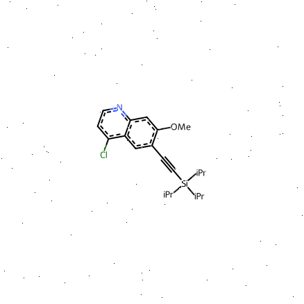 COc1cc2nccc(Cl)c2cc1C#C[Si](C(C)C)(C(C)C)C(C)C